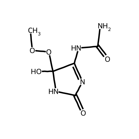 COOC1(O)NC(=O)N=C1NC(N)=O